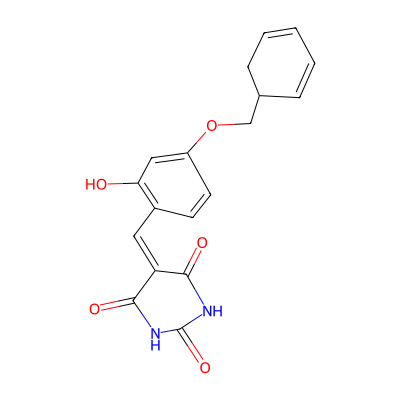 O=C1NC(=O)C(=Cc2ccc(OCC3C=CC=CC3)cc2O)C(=O)N1